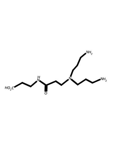 NCCCN(CCCN)CCC(=O)NCCC(=O)O